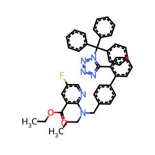 CCCN(Cc1ccc(-c2ccccc2-c2nnnn2C(c2ccccc2)(c2ccccc2)c2ccccc2)cc1)c1ncc(F)cc1C(=O)OCC